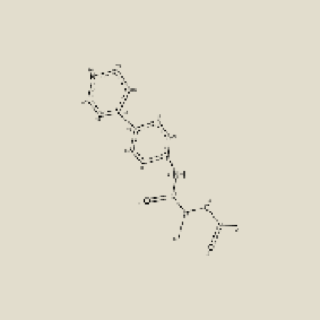 CC(=O)OC(C)C(=O)Nc1ccc(-c2ccncc2)cc1